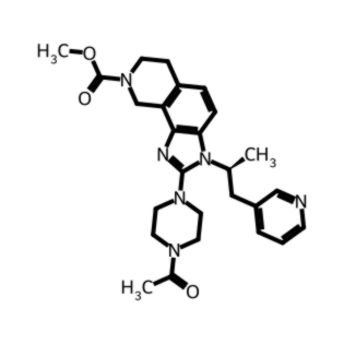 COC(=O)N1CCc2ccc3c(nc(N4CCN(C(C)=O)CC4)n3[C@@H](C)Cc3cccnc3)c2C1